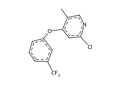 Cc1cnc(Cl)cc1Oc1cccc(C(F)(F)F)c1